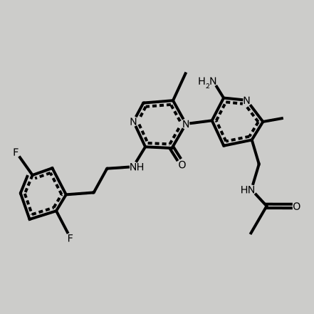 CC(=O)NCc1cc(-n2c(C)cnc(NCCc3cc(F)ccc3F)c2=O)c(N)nc1C